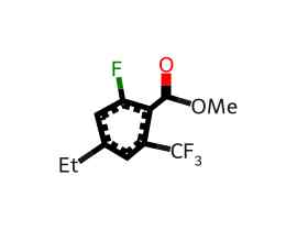 CCc1cc(F)c(C(=O)OC)c(C(F)(F)F)c1